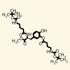 COC(=O)[C@H](Cc1ccc(O)c(OC(=O)CCCNC(=O)OC(C)(C)C)c1)NC(=O)CCCNC(=O)OC(C)(C)C